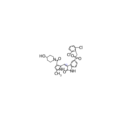 Cc1cc(C(=O)N2CCC(O)CC2)c(/C=C2\C(=O)Nc3ccc(S(=O)(=O)Cc4c(Cl)cccc4Cl)cc32)[nH]1